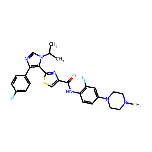 CC(C)n1cnc(-c2ccc(F)cc2)c1-c1nc(C(=O)Nc2ccc(N3CCN(C)CC3)cc2F)cs1